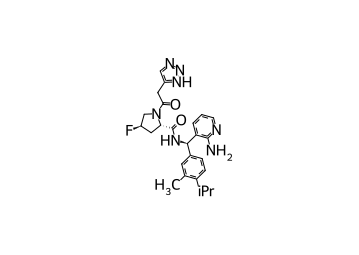 Cc1cc([C@@H](NC(=O)[C@@H]2C[C@@H](F)CN2C(=O)Cc2cnn[nH]2)c2cccnc2N)ccc1C(C)C